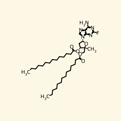 CCCCCCCCCCCCCC(=O)OC[C@@]1(C)O[C@@H](n2cnc3c(N)nc(F)nc32)C[C@@H]1OC(=O)CCCCCCCCCCCCC